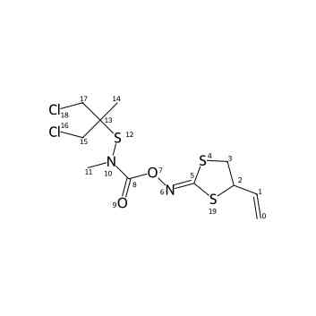 C=CC1CSC(=NOC(=O)N(C)SC(C)(CCl)CCl)S1